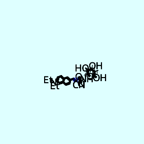 CCN(CC)c1ccc2cc(/C=C(\C#N)S(=O)(=O)NC[C@H]3OC(O)[C@H](C)[C@@H](O)[C@@H]3O)ccc2c1